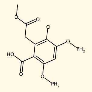 COC(=O)Cc1c(Cl)c(OP)cc(OP)c1C(=O)O